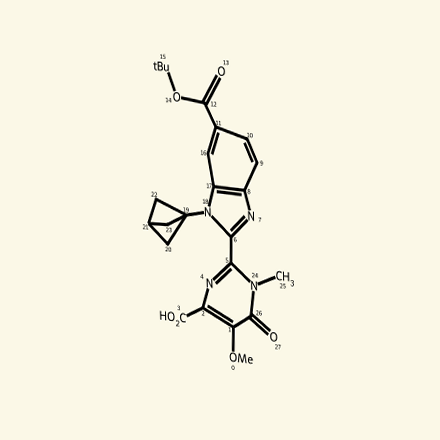 COc1c(C(=O)O)nc(-c2nc3ccc(C(=O)OC(C)(C)C)cc3n2C23CC(C2)C3)n(C)c1=O